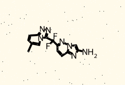 Cc1ccc2nnc(C(F)(F)c3ccc4nc(N)cn4n3)n2c1